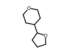 C1COC(C2CCOCC2)C1